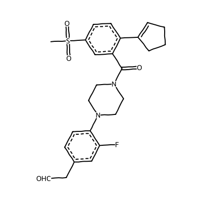 CS(=O)(=O)c1ccc(C2=CCCC2)c(C(=O)N2CCN(c3ccc(CC=O)cc3F)CC2)c1